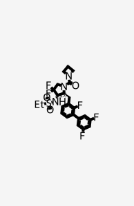 CCS(=O)(=O)N[C@@H]1[C@H](Cc2cccc(-c3cc(F)cc(F)c3)c2F)N(C(=O)N2CCC2)CC1(F)F